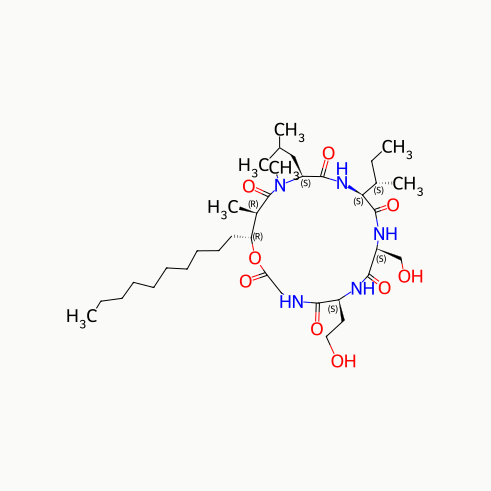 CCCCCCCCCC[C@H]1OC(=O)CNC(=O)[C@H](CCO)NC(=O)[C@H](CO)NC(=O)[C@H]([C@@H](C)CC)NC(=O)[C@H](CC(C)C)N(C)C(=O)[C@@H]1C